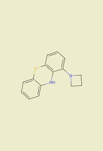 c1ccc2c(c1)Nc1c(cccc1N1CCC1)S2